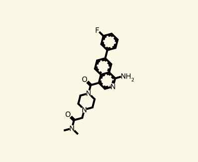 CN(C)C(=O)CN1CCN(C(=O)c2cnc(N)c3cc(-c4cccc(F)c4)ccc23)CC1